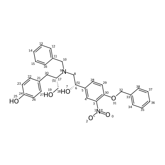 O=[N+]([O-])c1cc([C@H](O)CN(Cc2ccccc2)[C@H](CO)Cc2ccc(O)cc2)ccc1OCc1ccccc1